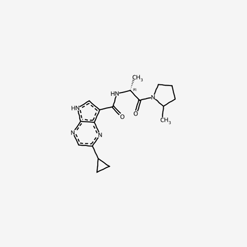 CC1CCCN1C(=O)[C@@H](C)NC(=O)c1c[nH]c2ncc(C3CC3)nc12